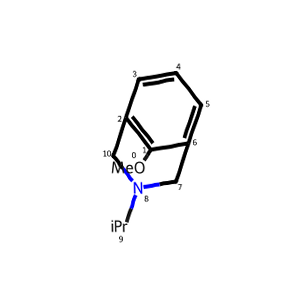 COc1c2cccc1CN(C(C)C)C2